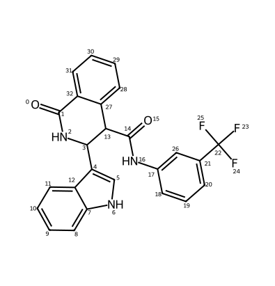 O=C1NC(c2c[nH]c3ccccc23)C(C(=O)Nc2cccc(C(F)(F)F)c2)c2ccccc21